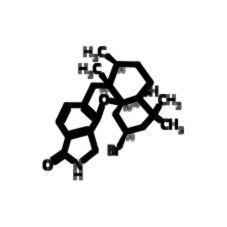 C[C@H]1CC[C@H]2C(C)(C)C[C@@H](Br)C[C@]23Oc2c(ccc4c2CNC4=O)C[C@]13C